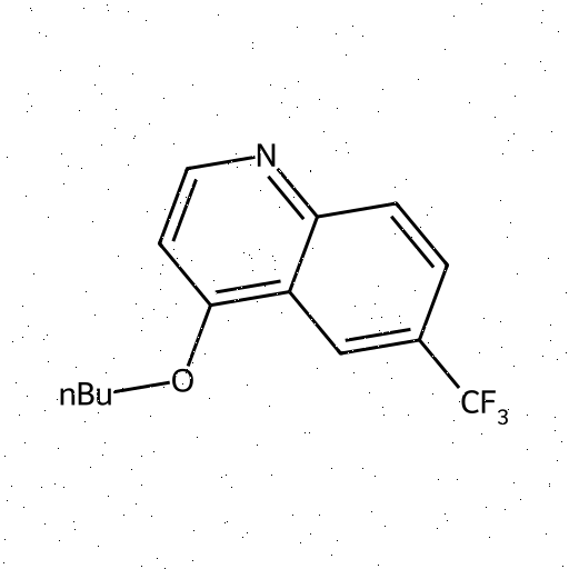 CCCCOc1ccnc2ccc(C(F)(F)F)cc12